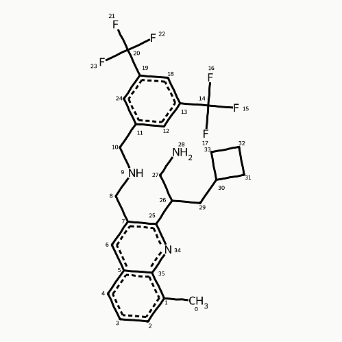 Cc1cccc2cc(CNCc3cc(C(F)(F)F)cc(C(F)(F)F)c3)c(C(CN)CC3CCC3)nc12